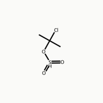 CC(C)(Cl)O[SH](=O)=O